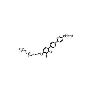 CCCCCCCc1ccc(-c2ccc(-c3ccc(OCCCC[Si](C)(C)CCC(F)(F)F)c(F)c3F)cc2)cc1